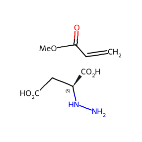 C=CC(=O)OC.NN[C@@H](CC(=O)O)C(=O)O